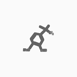 COc1ccc(C(C)(C)C(F)(F)F)cc1C=O